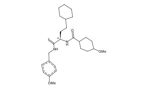 COc1ccc(CNC(=S)[C@@H](CCC2CCCCC2)NC(=O)C2CCC(OC)CC2)cc1